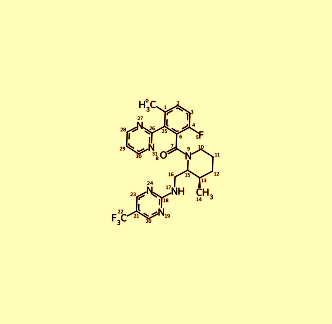 Cc1ccc(F)c(C(=O)N2CCC[C@@H](C)C2CNc2ncc(C(F)(F)F)cn2)c1-c1ncccn1